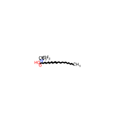 CCCCCCCCCCCCCCCCCCCCC(C(=O)O)N(CC)CC